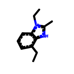 CCc1cccc2c1[nH]c(C)[n+]2CC